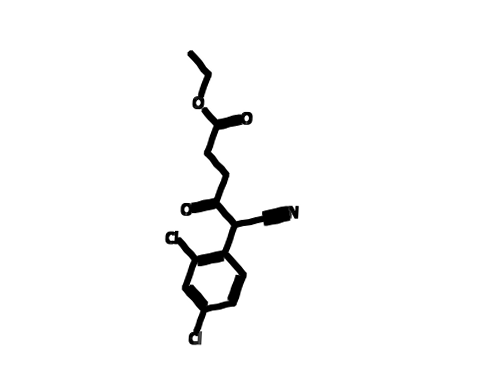 CCOC(=O)CCC(=O)C(C#N)c1ccc(Cl)cc1Cl